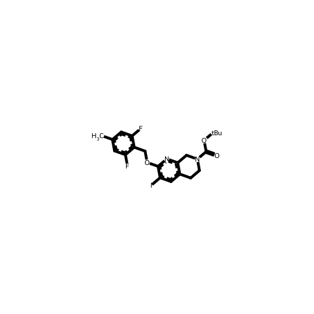 Cc1cc(F)c(COc2nc3c(cc2I)CCN(C(=O)OC(C)(C)C)C3)c(F)c1